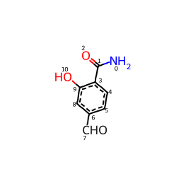 NC(=O)c1ccc(C=O)cc1O